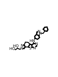 OC[C@H](O)Cn1cc2c(n1)CCc1c-2sc2ncnc(Nc3ccc4c(cnn4Cc4ccccc4)c3)c12